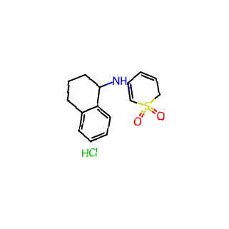 Cl.NC1CCCc2ccccc21.O=S1(=O)C=CC=CC1